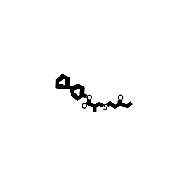 CCC(=O)CCSCC(C)C(=O)Oc1ccc(-c2ccccc2)cc1